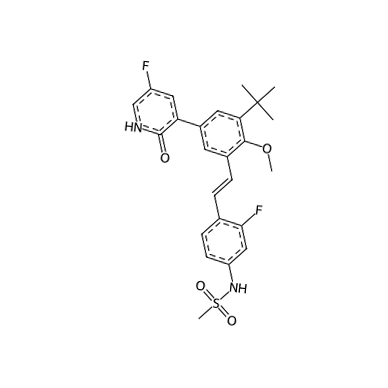 COc1c(C=Cc2ccc(NS(C)(=O)=O)cc2F)cc(-c2cc(F)c[nH]c2=O)cc1C(C)(C)C